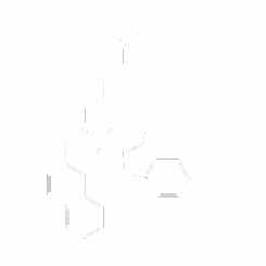 CCN(CC)CCCCN(Cc1ccc2ccccc2c1)S(=O)(=O)c1sc2ccc(Cl)cc2c1C